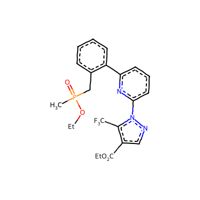 CCOC(=O)c1cnn(-c2cccc(-c3ccccc3CP(C)(=O)OCC)n2)c1C(F)(F)F